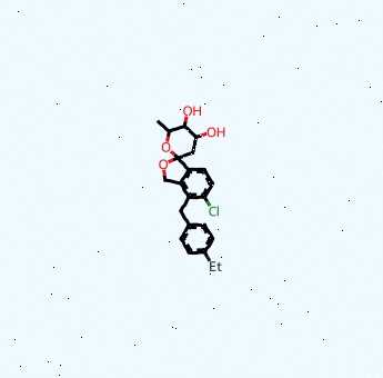 CCc1ccc(Cc2c(Cl)ccc3c2COC32CC(O)C(O)C(C)O2)cc1